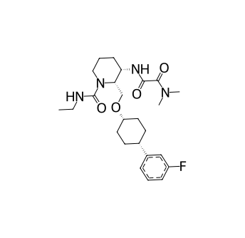 CCNC(=O)N1CCC[C@H](NC(=O)C(=O)N(C)C)[C@@H]1CO[C@H]1CC[C@@H](c2cccc(F)c2)CC1